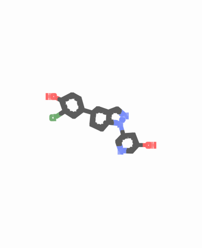 Oc1cncc(-n2ncc3cc(-c4ccc(O)c(Cl)c4)ccc32)c1